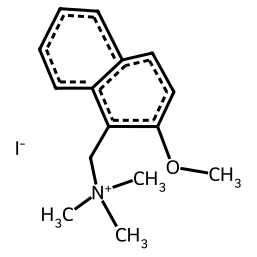 COc1ccc2ccccc2c1C[N+](C)(C)C.[I-]